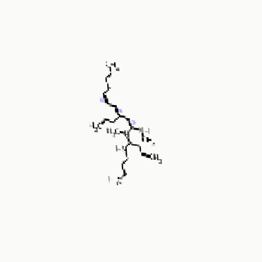 C=CCC(/C=C(/NC)N(C)C(CC=C)NCCCC)=C\C=C/CCCC